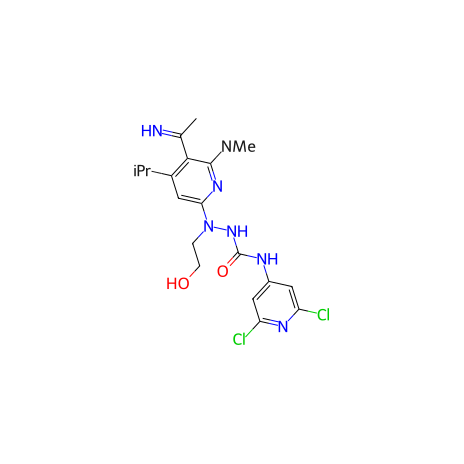 CNc1nc(N(CCO)NC(=O)Nc2cc(Cl)nc(Cl)c2)cc(C(C)C)c1C(C)=N